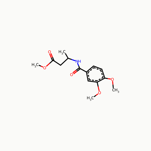 COC(=O)CC(C)NC(=O)c1ccc(OC)c(OC)c1